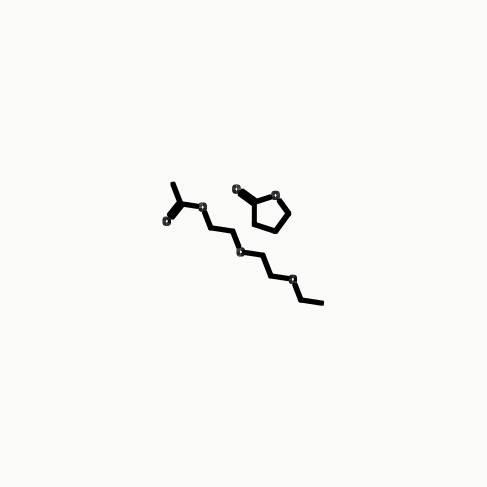 CCOCCOCCOC(C)=O.O=C1CCCO1